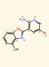 N#Cc1cccc2oc(-c3cc(Br)cnc3N)nc12